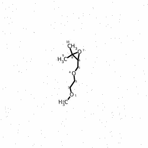 COCCOCC1OC1(C)C